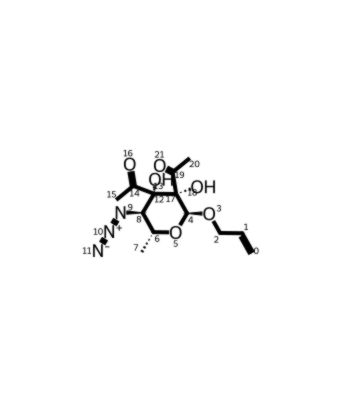 C=CCO[C@H]1O[C@H](C)[C@@H](N=[N+]=[N-])[C@@](O)(C(C)=O)[C@@]1(O)C(C)=O